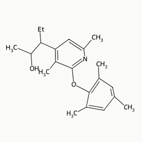 CCC(c1cc(C)nc(Oc2c(C)cc(C)cc2C)c1C)C(C)O